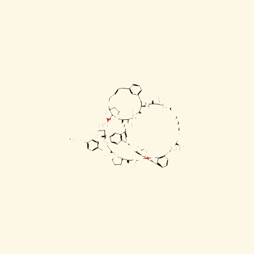 CC[C@H]1NC(=O)CCCCCC(=O)NCc2ccc3cc2Cn2cc(nn2)Cn2cc(c4cc(F)ccc42)C[C@@H]2NC(=O)[C@H](Cc4cccc(c4)C/C=C/CO[C@H]4CCN(C2=O)[C@@H]4C(=O)N[C@@H]([C@@H](C)O)C(=O)N[C@@H](Cc2ccc(OC)cc2)C(=O)N2CCC[C@@]2(C)C(=O)NCC3)NC1=O